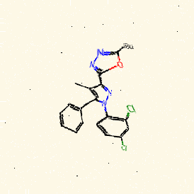 CCC(C)c1nnc(-c2nn(-c3ccc(Cl)cc3Cl)c(-c3ccccc3)c2C)o1